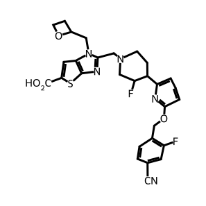 N#Cc1ccc(COc2cccc(C3CCN(Cc4nc5sc(C(=O)O)cc5n4CC4CCO4)CC3F)n2)c(F)c1